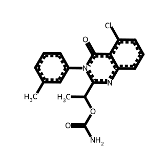 Cc1cccc(-n2c(C(C)OC(N)=O)nc3cccc(Cl)c3c2=O)c1